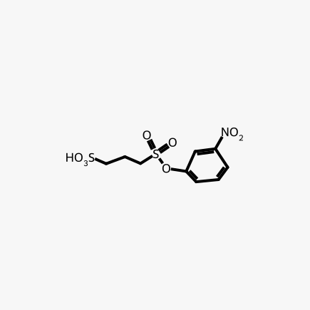 O=[N+]([O-])c1cccc(OS(=O)(=O)CCCS(=O)(=O)O)c1